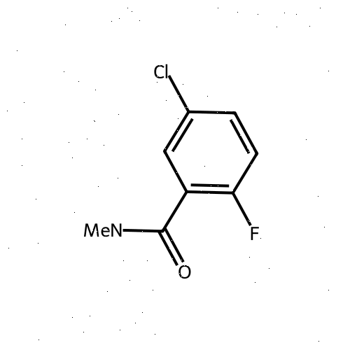 CNC(=O)c1cc(Cl)ccc1F